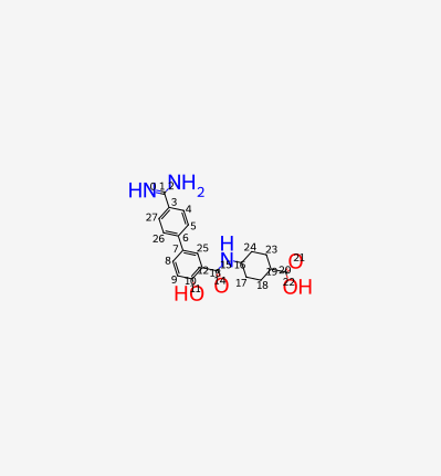 N=C(N)c1ccc(-c2ccc(O)c(C(=O)NC3CCC(C(=O)O)CC3)c2)cc1